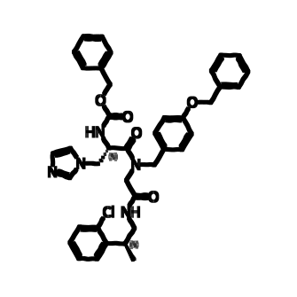 C[C@H](CNC(=O)CN(Cc1ccc(OCc2ccccc2)cc1)C(=O)[C@H](Cn1ccnc1)NC(=O)OCc1ccccc1)c1ccccc1Cl